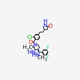 CN/C(=C1/CCN(C(=O)c2ccc(CCC3CNC(=O)C3)cc2Cl)[C@@H](C)C1=N)c1cc(F)cc(F)c1